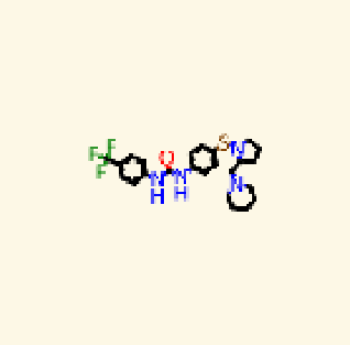 O=C(Nc1ccc(SN2CCCC2CN2CCCCC2)cc1)Nc1ccc(C(F)(F)F)cc1